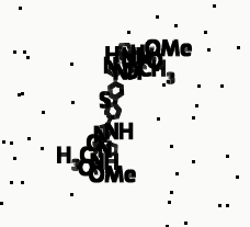 COC(=O)N[C@@H](C)C(=O)N1CCC[C@H]1C1=NCC(c2ccc3c(c2)sc2cc(C4CN=C([C@@H]5[C@H]6CC[C@H](C6)N5C(=O)[C@H](C)NC(=O)OC)N4)ccc23)N1